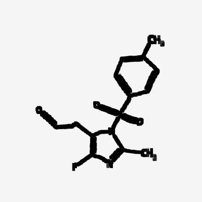 Cc1ccc(S(=O)(=O)n2c(C)nc(F)c2CC=O)cc1